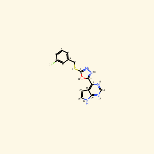 Fc1cccc(CSc2nnc(-c3ncnc4[nH]ccc34)o2)c1